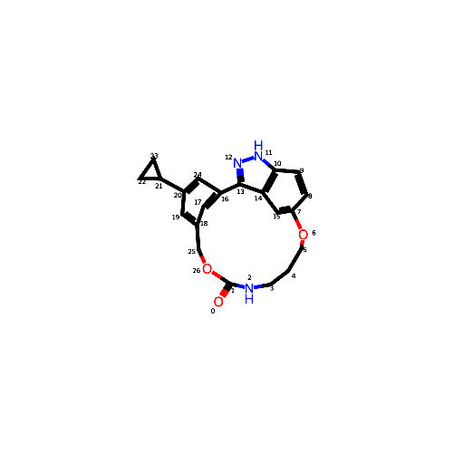 O=C1NCCCOc2ccc3[nH]nc(c3c2)-c2cc(cc(C3CC3)c2)CO1